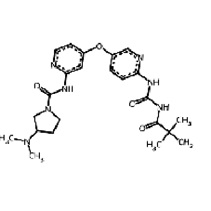 CN(C)C1CCN(C(=O)Nc2cc(Oc3ccc(NC(=O)NC(=O)C(C)(C)C)nc3)ccn2)C1